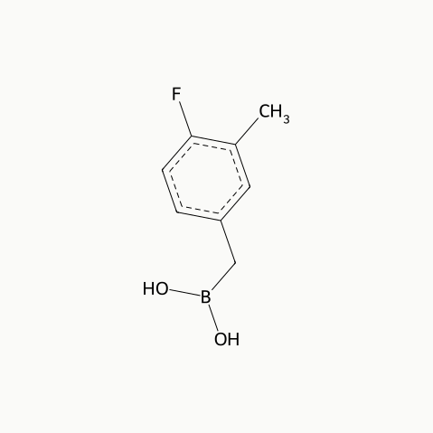 Cc1cc(CB(O)O)ccc1F